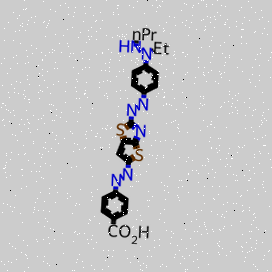 CCCNN(CC)c1ccc(N=Nc2nc3sc(N=Nc4ccc(C(=O)O)cc4)cc3s2)cc1